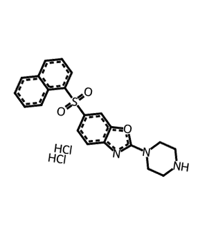 Cl.Cl.O=S(=O)(c1ccc2nc(N3CCNCC3)oc2c1)c1cccc2ccccc12